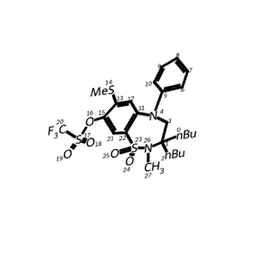 CCCCC1(CCCC)CN(c2ccccc2)c2cc(SC)c(OS(=O)(=O)C(F)(F)F)cc2S(=O)(=O)N1C